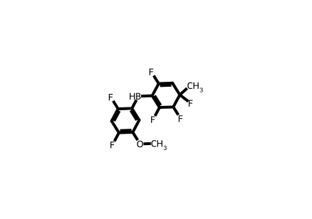 COc1cc(BC2=C(F)C(F)C(C)(F)C=C2F)c(F)cc1F